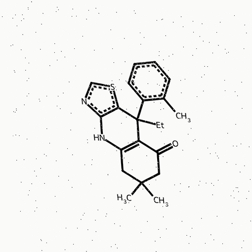 CCC1(c2ccccc2C)C2=C(CC(C)(C)CC2=O)Nc2ncsc21